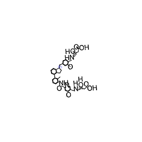 COc1cc(/C=C2\CCc3c2cccc3-c2cccc(NC(=O)c3cc(OC)c(CNC[C@@H](O)CC(=O)O)cn3)c2C)ccc1CNC[C@@H](O)CC(=O)O